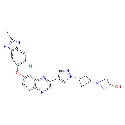 Cc1nc2ccc(Oc3ccc4ncc(-c5cnn([C@H]6C[C@@H](N7CC(O)C7)C6)c5)nc4c3Cl)cc2[nH]1